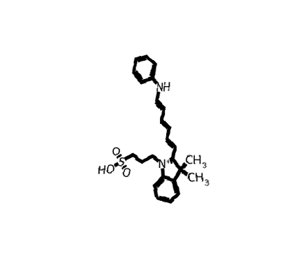 CC1(C)C(/C=C/C=C/C=C/Nc2ccccc2)=[N+](CCCS(=O)(=O)O)c2ccccc21